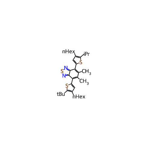 CCCCCCc1cc(-c2c(C)c(C)c(-c3cc(CCCCCC)c(C(C)(C)C)s3)c3nsnc23)sc1C(C)C